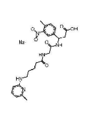 Cc1cccc(NCCCCC(=O)NCC(=O)NC(CC(=O)O)c2ccc(C)c([N+](=O)[O-])c2)n1.[Na]